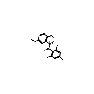 CCc1ccc(CC)c([PH](=O)C(=O)c2c(C)cc(C)cc2C)c1